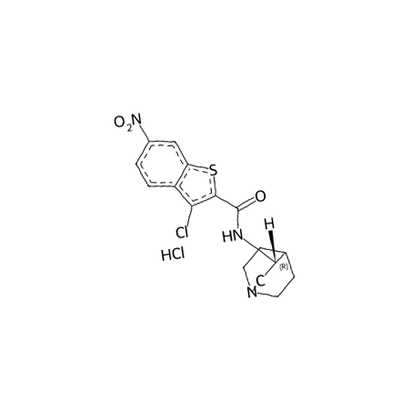 Cl.O=C(N[C@H]1CN2CCC1CC2)c1sc2cc([N+](=O)[O-])ccc2c1Cl